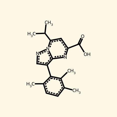 Cc1ccc(C)c(-c2cnn3c(C(C)C)cc(C(=O)O)nc23)c1C